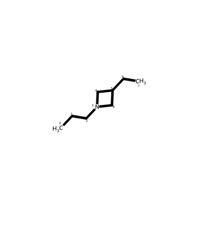 CCCN1CC(CC)C1